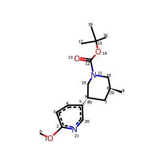 COc1ccc([C@H]2C[C@H](C)CN(C(=O)OC(C)(C)C)C2)cn1